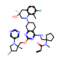 C=CC(=O)N(C)C1(CNc2nc(OC[C@]3(C)C[C@@H](F)CN3c3cncnc3)nc3c2CC[C@H](N2C[C@@](C)(O)Cc4ccc(F)c(C)c42)C3)CCCC1